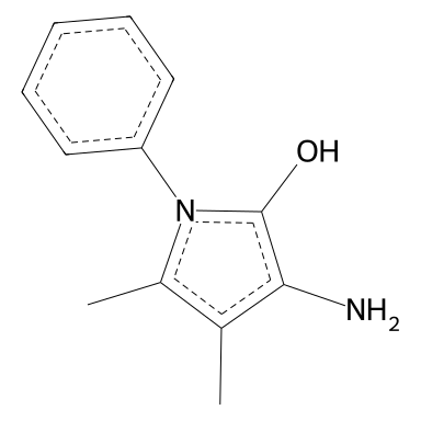 Cc1c(N)c(O)n(-c2ccccc2)c1C